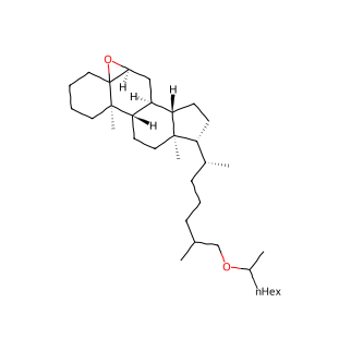 CCCCCCC(C)OCC(C)CCC[C@@H](C)[C@H]1CC[C@H]2[C@@H]3C[C@@H]4OC45CCCC[C@]5(C)[C@H]3CC[C@]12C